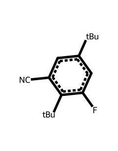 CC(C)(C)c1cc(F)c(C(C)(C)C)c(C#N)c1